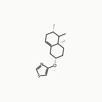 CC1[C@@H](C)CC=C2C[C@@H](Oc3cscn3)CC[C@@]21C